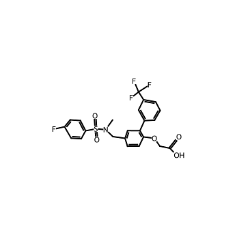 CN(Cc1ccc(OCC(=O)O)c(-c2cccc(C(F)(F)F)c2)c1)S(=O)(=O)c1ccc(F)cc1